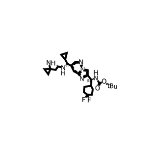 CC(C)(C)OC(=O)N[C@H](c1cn2ncc([C@H](NCCC3(N)CC3)C3CC3)cc2n1)C1CCC(F)(F)CC1